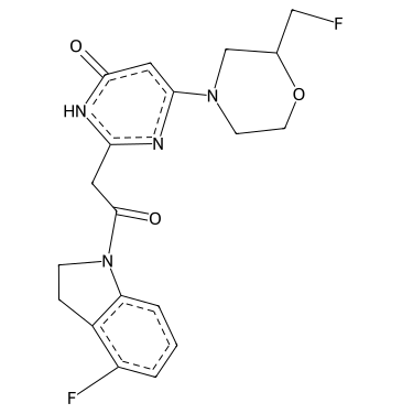 O=C(Cc1nc(N2CCOC(CF)C2)cc(=O)[nH]1)N1CCc2c(F)cccc21